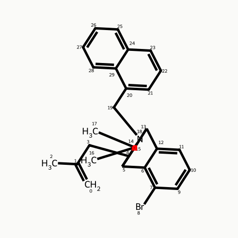 C=C(C)CC1C2c3c(Br)cccc3C(CC2(C)C)N1Cc1cccc2ccccc12